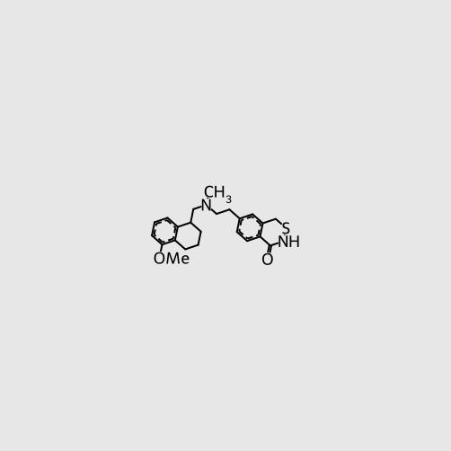 COc1cccc2c1CCCC2CN(C)CCc1ccc2c(c1)CSNC2=O